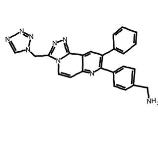 NCc1ccc(-c2nc3ccn4c(Cn5cnnn5)nnc4c3cc2-c2ccccc2)cc1